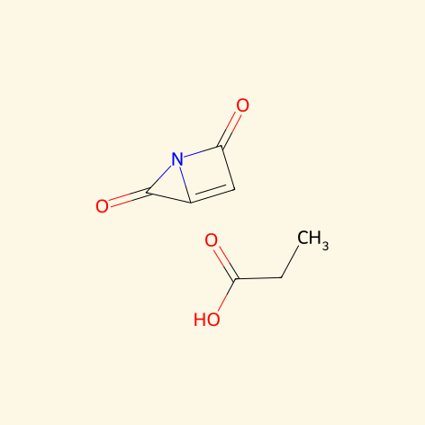 CCC(=O)O.O=C1C=C2C(=O)N12